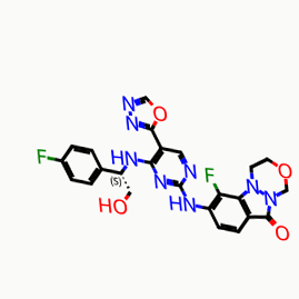 O=c1c2ccc(Nc3ncc(-c4nnco4)c(N[C@H](CO)c4ccc(F)cc4)n3)c(F)c2n2n1COCC2